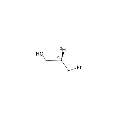 [2H][C@H](CO)CCC